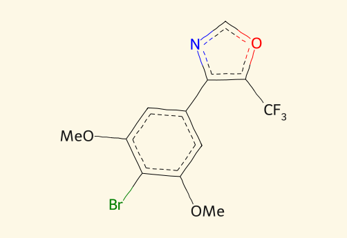 COc1cc(-c2ncoc2C(F)(F)F)cc(OC)c1Br